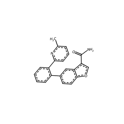 Cc1cccc(-c2ccccc2-c2ccc3occ(C(N)=O)c3c2)n1